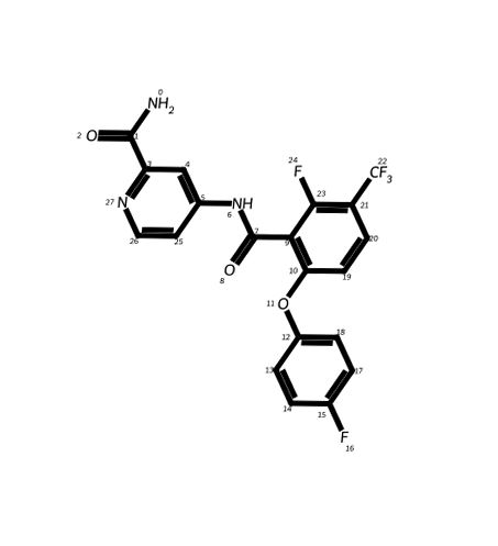 NC(=O)c1cc(NC(=O)c2c(Oc3ccc(F)cc3)ccc(C(F)(F)F)c2F)ccn1